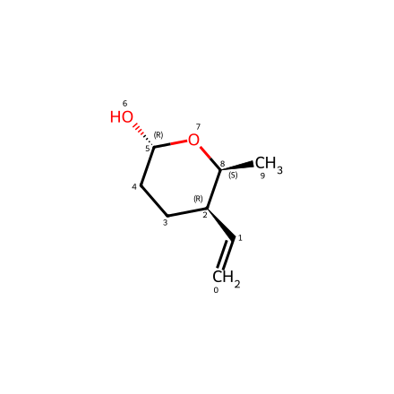 C=C[C@H]1CC[C@H](O)O[C@H]1C